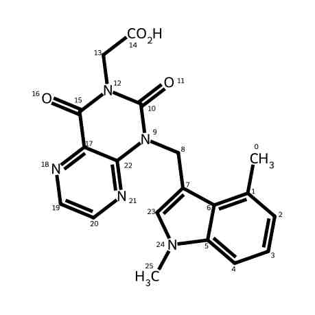 Cc1cccc2c1c(Cn1c(=O)n(CC(=O)O)c(=O)c3nccnc31)cn2C